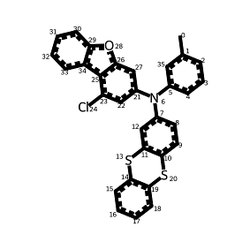 Cc1cccc(N(c2ccc3c(c2)Sc2ccccc2S3)c2cc(Cl)c3c(c2)oc2ccccc23)c1